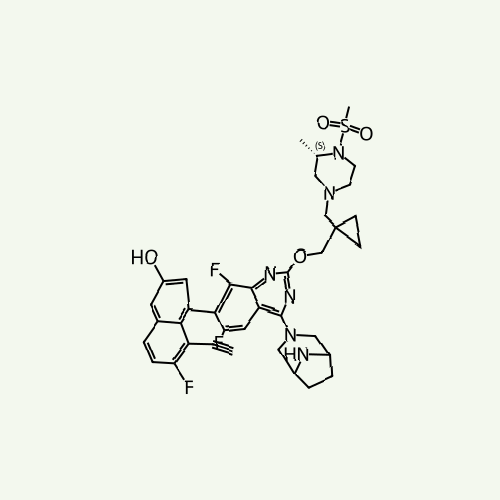 C#Cc1c(F)ccc2cc(O)cc(-c3c(F)cc4c(N5CC6CCC(C5)N6)nc(OCC5(CN6CCN(S(C)(=O)=O)[C@@H](C)C6)CC5)nc4c3F)c12